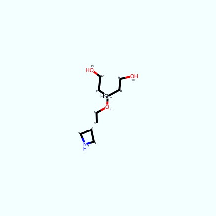 C1CNC1.CCO[SiH](CCO)CCO